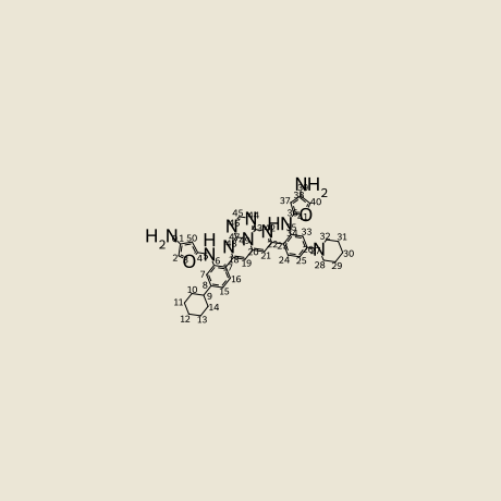 Nc1coc(Nc2cc(C3CCCCC3)ccc2C2=CC3=CC(c4ccc(N5CCCCC5)cc4Nc4cc(N)co4)=NC4=NC=NC(=N2)N34)c1